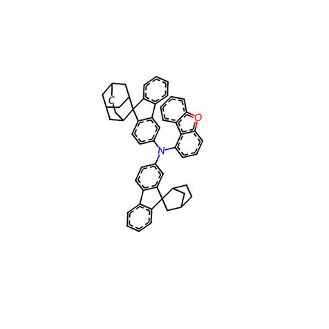 c1ccc2c(c1)-c1ccc(N(c3ccc4c(c3)-c3ccccc3C43C4CCC5CC(C4)CC3C5)c3cccc4oc5ccccc5c34)cc1C21CC2CCC1C2